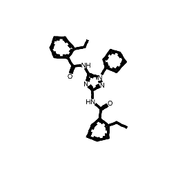 CCc1ccccc1C(=O)Nc1nc(NC(=O)c2ccccc2CC)n(-c2ccccc2)n1